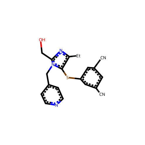 CCc1nc(CO)n(Cc2ccncc2)c1Sc1cc(C#N)cc(C#N)c1